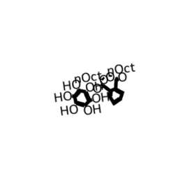 CCCCCCCCOC(=O)c1ccccc1C(=O)OCCCCCCCC.Oc1c(O)c(O)c(O)c(O)c1O